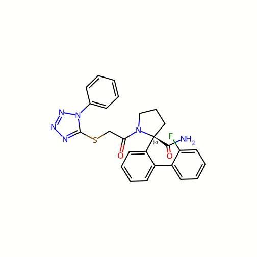 NC(=O)[C@]1(c2ccccc2-c2ccccc2F)CCCN1C(=O)CSc1nnnn1-c1ccccc1